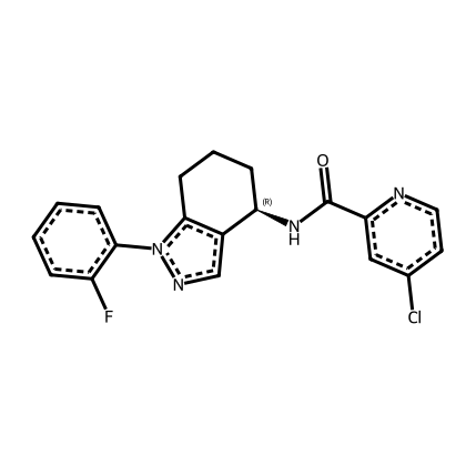 O=C(N[C@@H]1CCCc2c1cnn2-c1ccccc1F)c1cc(Cl)ccn1